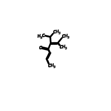 CC=CC(=O)C(=C(C)C)C(C)C